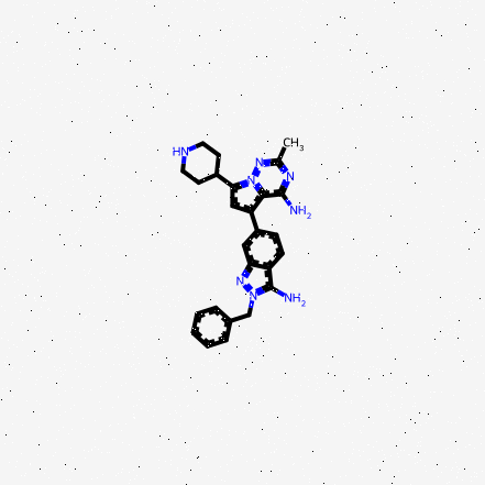 Cc1nc(N)c2c(-c3ccc4c(N)n(Cc5ccccc5)nc4c3)cc(C3CCNCC3)n2n1